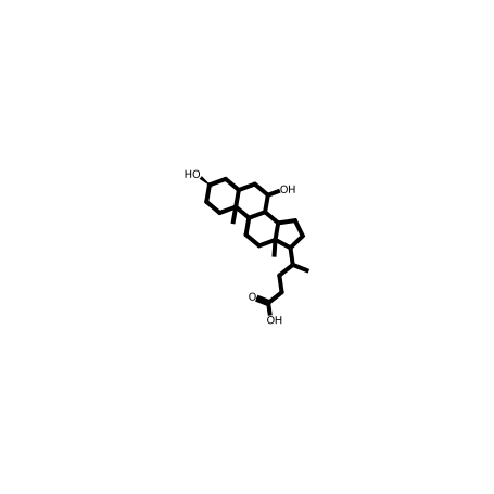 CC(CCC(=O)O)C1CCC2C3C(O)CC4C[C@H](O)CCC4(C)C3CCC12C